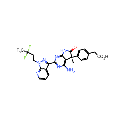 C[C@]1(c2ccc(CC(=O)O)cc2)C(=O)Nc2nc(-c3nn(CCC(F)(F)C(F)(F)F)c4ncccc34)nc(N)c21